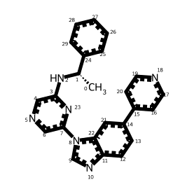 C[C@H](Nc1cncc(-n2cnc3ccc(-c4ccncc4)cc32)n1)c1ccccc1